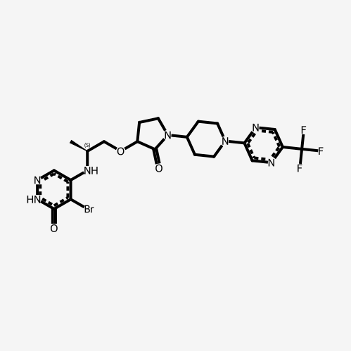 C[C@@H](COC1CCN(C2CCN(c3cnc(C(F)(F)F)cn3)CC2)C1=O)Nc1cn[nH]c(=O)c1Br